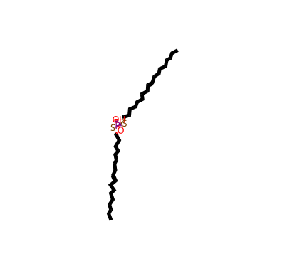 CCCCCCCCC=CCCCCCCCCOP(O)(=S)SCCCCCCCCC=CCCCCCCCC